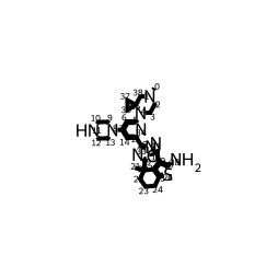 CN1CCN(c2cc(N3CCNCC3)cc(-c3noc(C4(C)CCCc5sc(N)c(C#N)c54)n3)n2)C2(CC2)C1